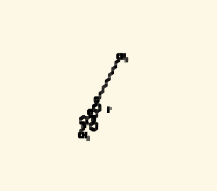 CCCCCCCCCCCCCCOc1ccc(CN(C(=O)c2ccc[n+](CCC)c2)c2ccccc2)cc1.[I-]